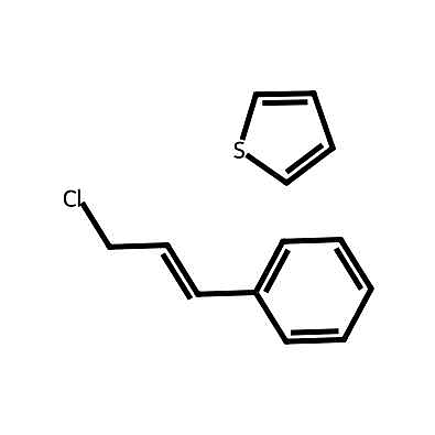 ClCC=Cc1ccccc1.c1ccsc1